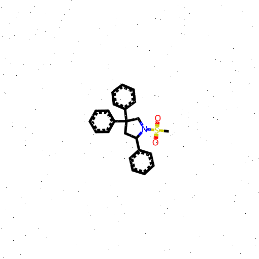 CS(=O)(=O)N1CC(c2ccccc2)(c2ccccc2)CC1c1ccccc1